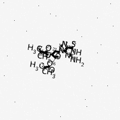 CC(C)C(=O)OC[C@H]1O[C@@H](n2cnc3c(=S)[nH]c(N)nc32)C[C@@H]1OC(=O)C(C)C